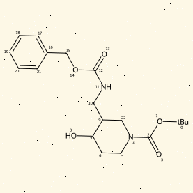 CC(C)(C)OC(=O)N1CCC(O)C(CNC(=O)OCc2ccccc2)C1